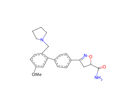 COc1ccc(CN2CCCC2)c(-c2ccc(C3=NOC(C(N)=O)C3)cc2)c1